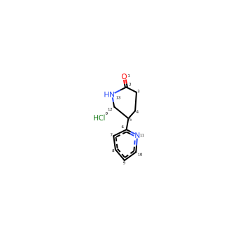 Cl.O=C1CCC(c2ccccn2)CN1